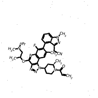 C=CC(=O)N1CCC(n2nnc3c(OC(C)CN(C)CCC)nc4c(F)c(-c5cccc6c5c(CC#N)nn6C)c(C)cc4c32)C[C@H]1C